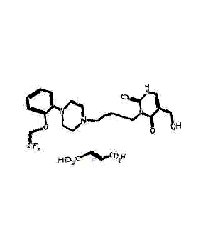 O=C(O)/C=C/C(=O)O.O=c1[nH]cc(CO)c(=O)n1CCCN1CCN(c2ccccc2OCC(F)(F)F)CC1